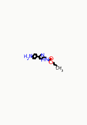 CCCCOC(=O)NCc1ccc(-c2ccc(N)cc2)cn1